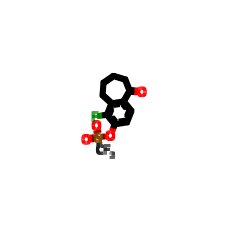 O=C1CCCCc2c1ccc(OS(=O)(=O)C(F)(F)F)c2F